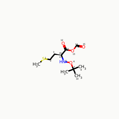 CSCC[C@H](NOC(C)(C)C)C(=O)OC=O